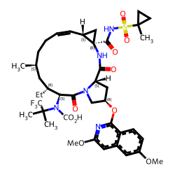 CC[C@@H]1C[C@@H](C)CCC=C[C@@H]2C[C@@]2(C(=O)NS(=O)(=O)C2(C)CC2)NC(=O)[C@@H]2C[C@@H](Oc3nc(OC)cc4cc(OC)ccc34)CN2C(=O)[C@H]1N(C(=O)O)C(C)(C)C(F)(F)F